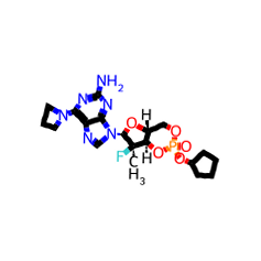 C[C@@]1(F)[C@@H]2OP(=O)(OC3CCCC3)OC[C@H]2O[C@H]1n1cnc2c(N3CCC3)nc(N)nc21